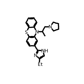 CCc1c[nH]c(-c2ccc3c(c2)N(C(C)CN2CCCC2)c2ccccc2S3)n1